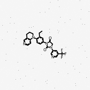 CCc1cc(N2C(=O)CN(c3cncc(C(F)(F)F)c3)C2=O)ccc1N1CCCc2cnccc21